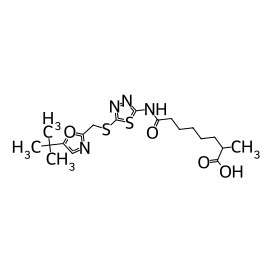 CC(CCCCCC(=O)Nc1nnc(SCc2ncc(C(C)(C)C)o2)s1)C(=O)O